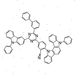 N#Cc1cc(-c2nc(-c3cccc(-c4ccccc4)c3)nc(-c3ccc4c(c3)c3ccccc3n4-c3ccccc3)n2)ccc1-n1c2ccccc2c2ccc3c(c4ccccc4n3-c3ccccc3)c21